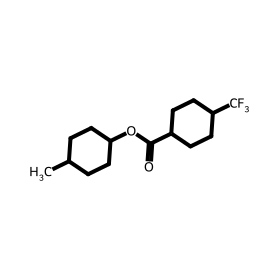 CC1CCC(OC(=O)C2CCC(C(F)(F)F)CC2)CC1